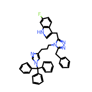 Fc1ccc2c(Cc3nnc(Cc4ccccc4)n3CCCc3cn(C(c4ccccc4)(c4ccccc4)c4ccccc4)cn3)c[nH]c2c1